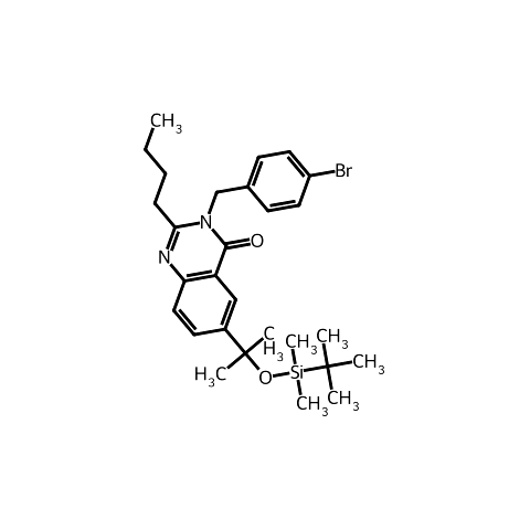 CCCCc1nc2ccc(C(C)(C)O[Si](C)(C)C(C)(C)C)cc2c(=O)n1Cc1ccc(Br)cc1